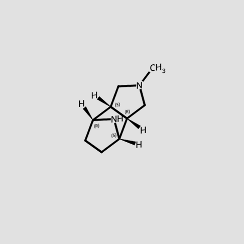 CN1C[C@@H]2[C@H](C1)[C@@H]1CC[C@H]2N1